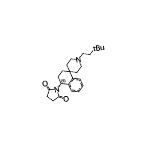 CC(C)(C)CCN1CCC2(CC[C@H](N3C(=O)CCC3=O)c3ccccc32)CC1